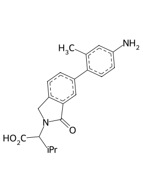 Cc1cc(N)ccc1-c1ccc2c(c1)C(=O)N(C(C(=O)O)C(C)C)C2